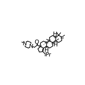 CC(C)C1=C2[C@H]3CC[C@@H]4[C@@]5(C)CC[C@H](C)C(C)(C)[C@@H]5CC[C@@]4(C)[C@]3(C)CC[C@@]2(C(=O)CN2CCN(C)CC2)CC1